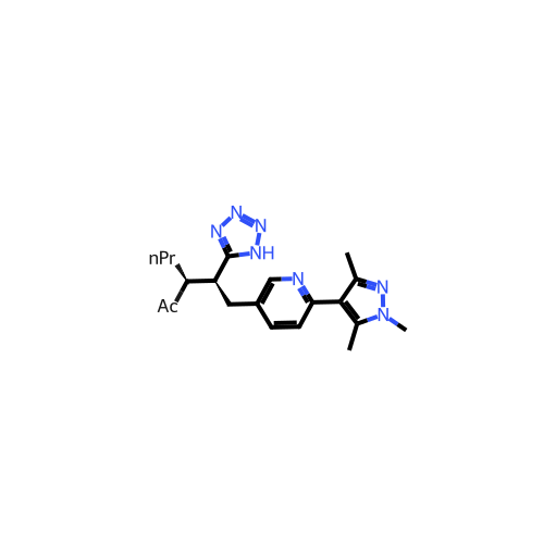 CCC[C@H](C(C)=O)[C@H](Cc1ccc(-c2c(C)nn(C)c2C)nc1)c1nnn[nH]1